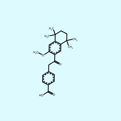 COc1cc2c(cc1C(=O)Cc1ccc(C(=O)O)cc1)C(C)(C)CCC2(C)C